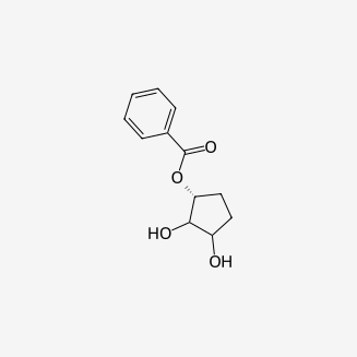 O=C(O[C@@H]1CCC(O)C1O)c1ccccc1